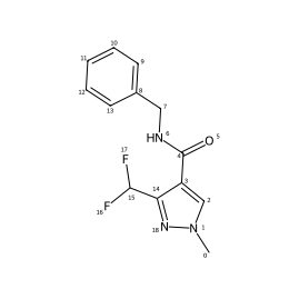 Cn1cc(C(=O)NCc2ccccc2)c(C(F)F)n1